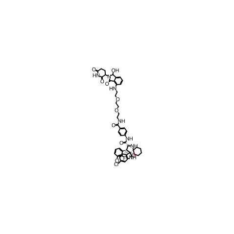 O=C1CCC(N2C(=O)c3c(NCCOCCOCCNC(=O)c4ccc(NC(=O)[C@@H]5NC6(CCCCC6)[C@@]6(C(=O)Nc7cc(Cl)ccc76)[C@H]5c5cccc(Cl)c5F)cc4)cccc3C2O)C(=O)N1